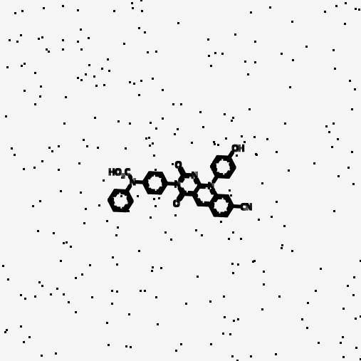 N#Cc1ccc2cc3c(=O)n(-c4ccc(N(C(=O)O)c5ccccc5)cc4)c(=O)nc-3n(-c3ccc(O)cc3)c2c1